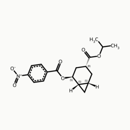 CC(C)OC(=O)[C@@H]1C[C@@H]2C[C@@H]2[C@@H](OC(=O)c2ccc([N+](=O)[O-])cc2)C1